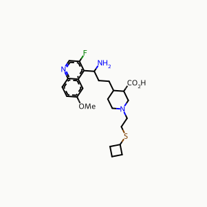 COc1ccc2ncc(F)c(C(N)CCC3CCN(CCSC4CCC4)CC3C(=O)O)c2c1